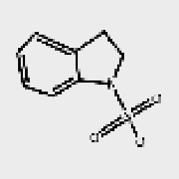 [O]S(=O)(=O)N1CCc2ccccc21